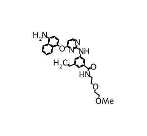 C=Cc1cc(Nc2nccc(Oc3ccc(N)c4ccccc34)n2)cc(C(=O)NCCOCCOC)c1